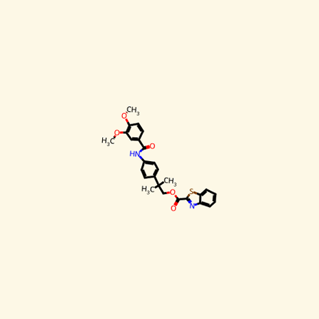 COc1ccc(C(=O)Nc2ccc(C(C)(C)COC(=O)c3nc4ccccc4s3)cc2)cc1OC